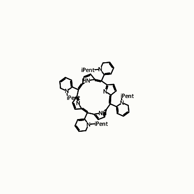 CCCC(C)N1CC=CC=C1c1c2nc(c(C3=CC=CCN3C(C)CCC)c3ccc([nH]3)c(C3=CC=CCN3C(C)CCC)c3nc(c(C4=CC=CCN4C(C)CCC)c4ccc1[nH]4)C=C3)C=C2